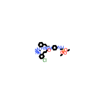 CCOP(=O)(CCNc1ccc(NC[C@H](Cc2ccccc2)NC(=O)/C=C/c2cc(Cl)ccc2-n2cnnn2)cc1)OCC